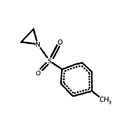 Cc1ccc(S(=O)(=O)N2CC2)cc1